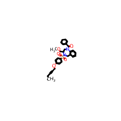 CCC#CCOc1ccc(S(=O)(=O)N2Cc3ccccc3N(C(=O)c3ccccc3)CC2C(=O)OC)cc1